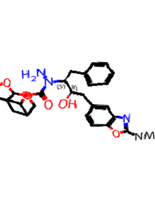 CNc1nc2cc(C[C@@H](O)[C@H](Cc3ccccc3)N(N)C(=O)OC3C4COC5OCC3C5C4)ccc2o1